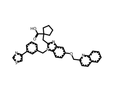 O=C(O)C1(Cc2nc3cc(OCc4ccc5ccccc5n4)ccc3n2Cc2cccc(-c3cscn3)c2)CCCC1